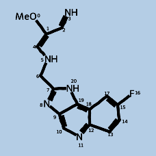 CO/C(C=N)=C/NCc1nc2cnc3ccc(F)cc3c2[nH]1